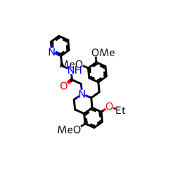 CCOc1ccc(OC)c2c1C(Cc1ccc(OC)c(OC)c1)N(CC(=O)NCc1ccccn1)CC2